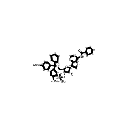 COc1ccc(C(OC[C@H]2O[C@@H](c3csc4c(NC(=O)c5ccccc5)ncnc34)[C@H](F)[C@@H]2O[Si](C)(C)C(C)(C)C)(c2ccccc2)c2ccc(OC)cc2)cc1